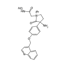 CC(C)[N@+]1(CC(=O)NO)CCC(N)(c2ccc(OCc3ccnc4ccccc34)cc2)C1=O